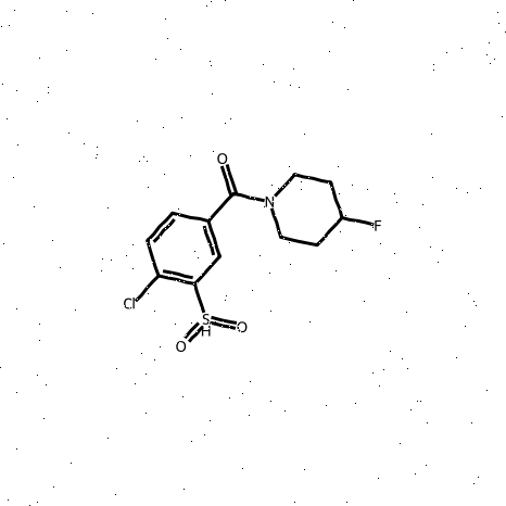 O=C(c1ccc(Cl)c([SH](=O)=O)c1)N1CCC(F)CC1